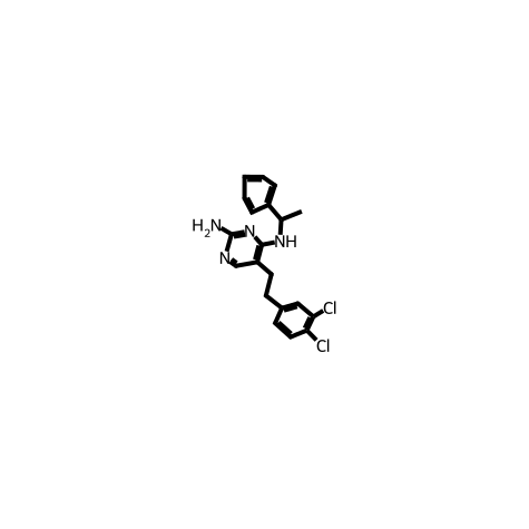 CC(Nc1nc(N)ncc1CCc1ccc(Cl)c(Cl)c1)c1ccccc1